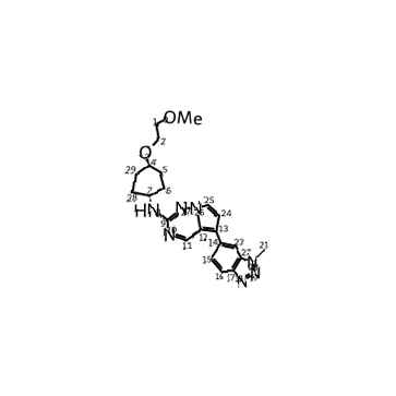 COCCO[C@H]1CC[C@H](Nc2ncc3c(-c4ccc5nnn(C)c5c4)ccn3n2)CC1